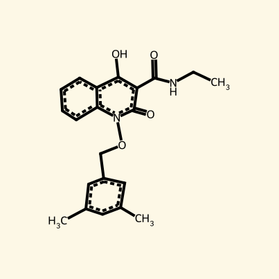 CCNC(=O)c1c(O)c2ccccc2n(OCc2cc(C)cc(C)c2)c1=O